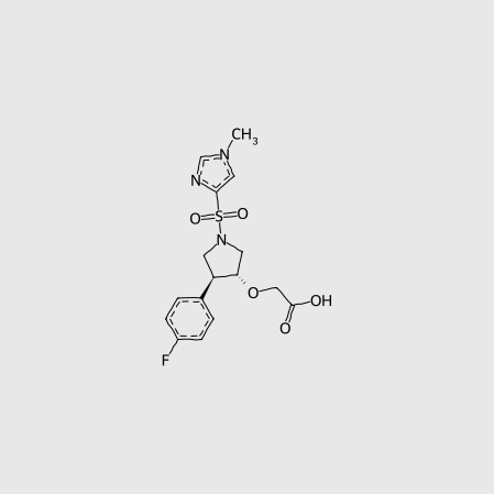 Cn1cnc(S(=O)(=O)N2C[C@H](OCC(=O)O)[C@@H](c3ccc(F)cc3)C2)c1